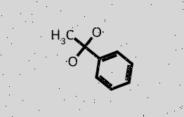 CC([O])([O])c1ccccc1